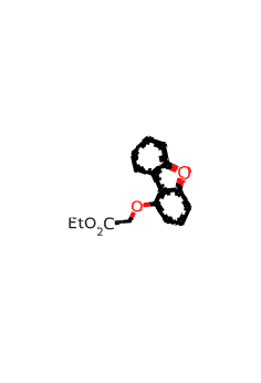 CCOC(=O)COc1cccc2oc3ccccc3c12